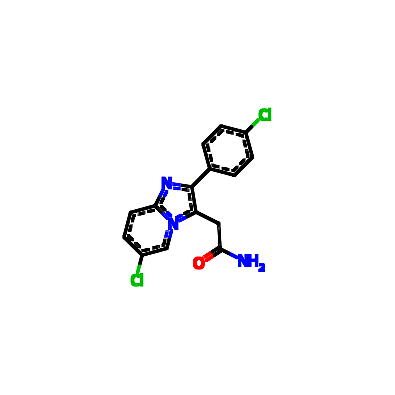 NC(=O)Cc1c(-c2ccc(Cl)cc2)nc2ccc(Cl)cn12